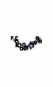 CS(=O)(=O)C1CN(C2=N/C=C(N3CC[C@@H](OC4C=CC(OCC(F)(F)F)=NC4)C3=O)\C=C\C=C\2)C1